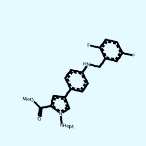 CCCCCCCn1cc(-c2ccc(NCc3cc(F)ccc3F)cc2)cc1C(=O)OC